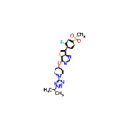 CC(C)n1nnc(N2CCC(Oc3ncnc4c(-c5ccc(S(C)(=O)=O)cc5F)csc34)CC2)n1